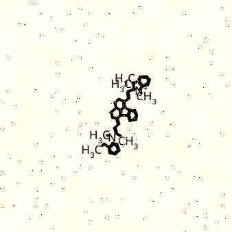 CC/C(=C\C=C1/CCC2CCC(/C=C/C3=[N+](C)c4ccccc4C3(C)C)=C3C2=C1c1ccccc13)N(C)c1ccccc1CC